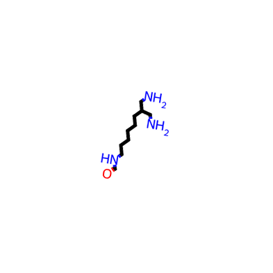 NCC(CN)CCCCCCNC=O